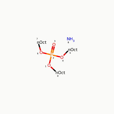 CCCCCCCCOP(=O)(OCCCCCCCC)OCCCCCCCC.N